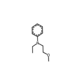 CCN(CCOC)c1ccccc1